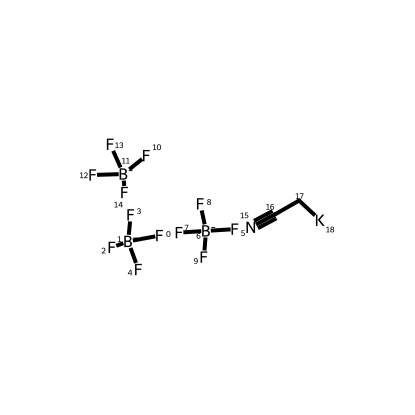 F[B-](F)(F)F.F[B-](F)(F)F.F[B-](F)(F)F.N#C[CH2][K]